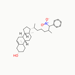 CC(CCCC(C)[C@H]1CC[C@H]2[C@@H]3CC=C4C[C@@H](O)CC[C@]4(C)[C@H]3CC[C@]12C)C(c1ccccc1)[N+](=O)[O-]